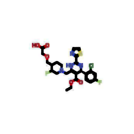 CCOC(=O)C1=C(CN2CCC(COCC(=O)O)C(F)C2)NC(c2nccs2)=N[C@H]1c1ccc(F)cc1Cl